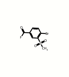 CS(=O)(=O)c1cc(C(=O)F)ccc1Br